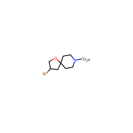 O=C(O)N1CCC2(CC1)CC(Br)CO2